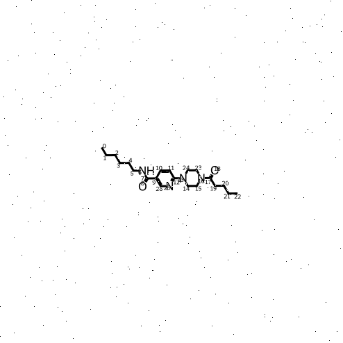 CCCCCCNC(=O)c1ccc(N2CCN(C(=O)CCCC)CC2)nc1